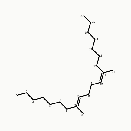 CCCCCCCC(C)=CCCC=C(C)CCCCCCC